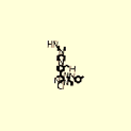 CCc1cc(-c2cnc(Cl)c3nc(CC)c(NC4CCCC(C)C4)nc23)ccc1N1CCC(N(CC)CCNC)CC1